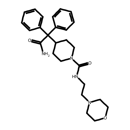 NC(=O)C(c1ccccc1)(c1ccccc1)C1CCN(C(=O)NCCN2CCOCC2)CC1